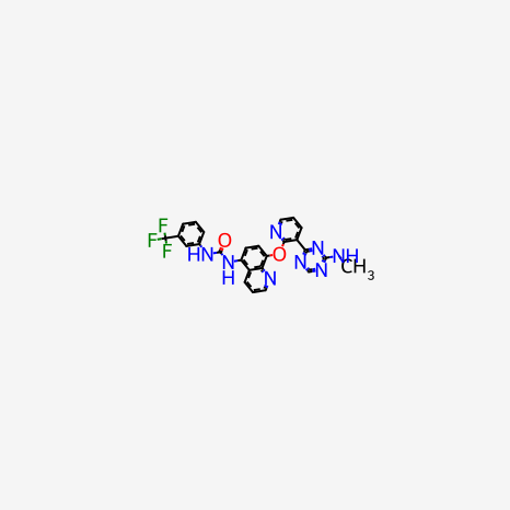 CNc1ncnc(-c2cccnc2Oc2ccc(NC(=O)Nc3cccc(C(F)(F)F)c3)c3cccnc23)n1